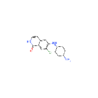 N[C@H]1CC[C@@H](Nc2cc3cc[nH]c(=O)c3cc2Cl)CC1